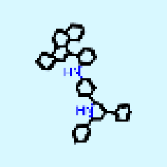 C1=C(c2ccccc2)CC(c2ccccc2)NC1c1ccc(Nc2ccccc2-c2cc3ccccc3c3ccc4ccccc4c23)cc1